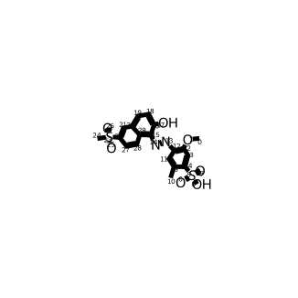 COc1cc(S(=O)(=O)O)c(C)cc1/N=N/c1c(O)ccc2cc(S(C)(=O)=O)ccc12